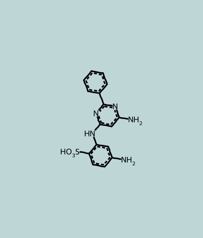 Nc1ccc(S(=O)(=O)O)c(Nc2cc(N)nc(-c3ccccc3)n2)c1